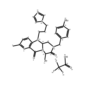 Cc1ccc2c(n1)C(=O)N1C(C(C)C)C(=O)N(Cc3ccc(C(C)(C)C)cc3)CC1N2CCCn1ccnc1.O=C(O)C(F)(F)F